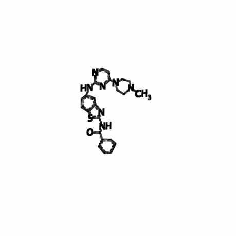 CN1CCN(c2ccnc(Nc3ccc4sc(NC(=O)c5ccccc5)nc4c3)n2)CC1